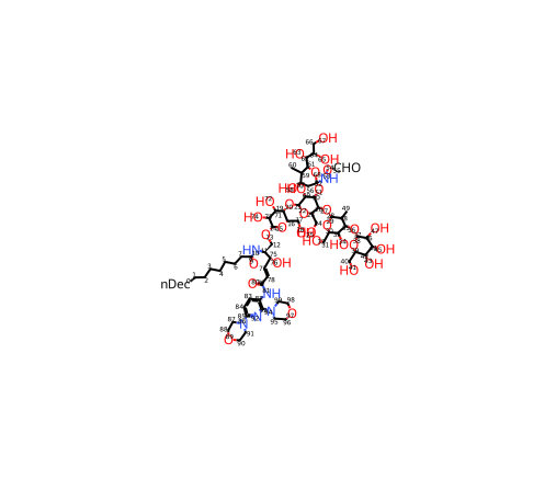 CCCCCCCCCCCCCCCCCC(=O)N[C@@H](COC1OC(CO)C(OC2OC(CO)C(OC3OC(CO)C(O)C(OC4OC(CO)C(O)C(O)C4O)C3C)C(OC3(NOC=O)CC(O)C(C)C([C@H](O)[C@H](O)CO)O3)C2O)C(O)C1O)[C@H](O)/C=C/C(=O)Nc1ccc(N2CCOCC2)nc1N1CCOCC1